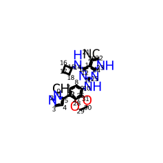 Cn1nccc1-c1ccc(Nc2nc(NC3CCC3)c3c(C#N)c[nH]c3n2)c2c1OCCO2